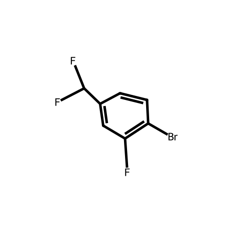 Fc1cc(C(F)F)ccc1Br